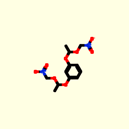 CC(OC[N+](=O)[O-])Oc1cccc(OC(C)OC[N+](=O)[O-])c1